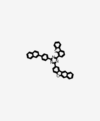 c1ccc2cc(-c3ccc(-c4nc(-c5ccc6oc7cc8ccccc8cc7c6c5)nc(-c5cccc6c5sc5ccccc56)n4)cc3)ccc2c1